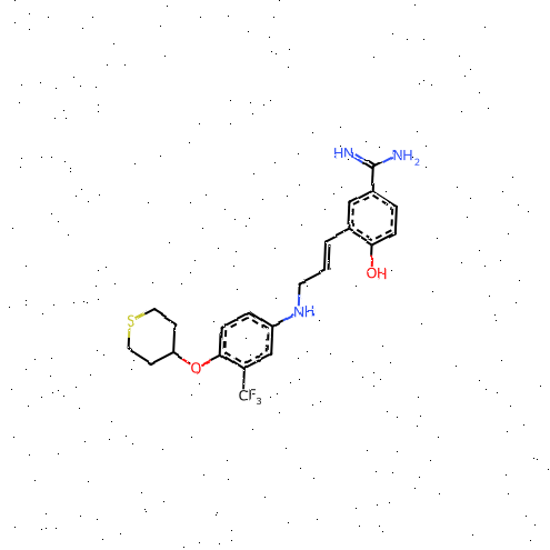 N=C(N)c1ccc(O)c(/C=C/CNc2ccc(OC3CCSCC3)c(C(F)(F)F)c2)c1